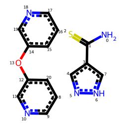 NC(=S)c1cn[nH]c1.c1cncc(Oc2cccnc2)c1